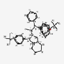 CN(P(c1ccccc1)c1ccccc1)P1[C@H](c2ccc(C(C)(C)C)cc2)N2CCCCN2[C@H]1c1ccc(C(C)(C)C)cc1